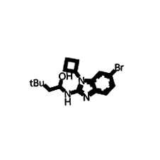 CC(C)(C)CC(O)Nc1nc2ccc(Br)cc2n1C1CCC1